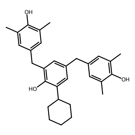 Cc1cc(Cc2cc(Cc3cc(C)c(O)c(C)c3)c(O)c(C3CCCCC3)c2)cc(C)c1O